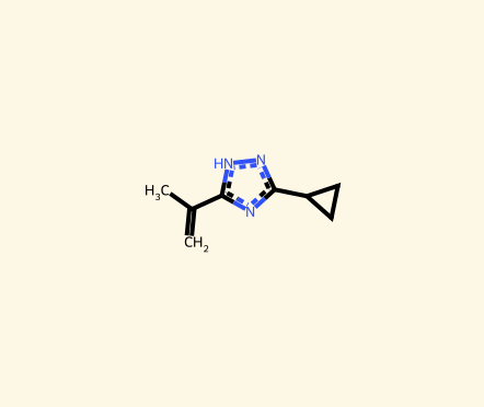 C=C(C)c1nc(C2CC2)n[nH]1